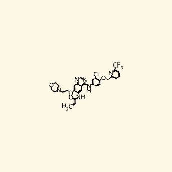 C=CC(=O)Nc1cc2c(Nc3ccc(OCc4cccc(C(F)(F)F)n4)c(Cl)c3)ncnc2cc1OCCN1CCOCC1